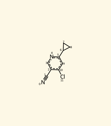 N#Cc1cnc(C2CC2)cc1Cl